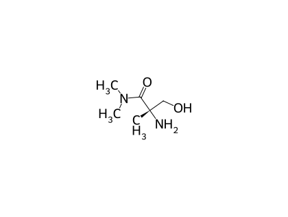 CN(C)C(=O)[C@@](C)(N)CO